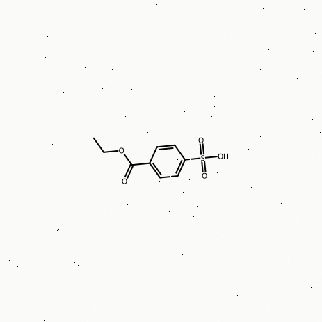 CCOC(=O)c1ccc(S(=O)(=O)O)cc1